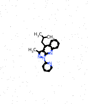 Cc1nn(-c2ccccn2)c2nc3ccccc3c(CC(C)C)c12